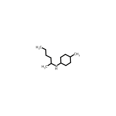 CCCCC(C)NC1CCC(C)CC1